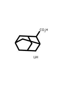 O=C(O)C1C2CC3CC(C2)CC1C3.[LiH]